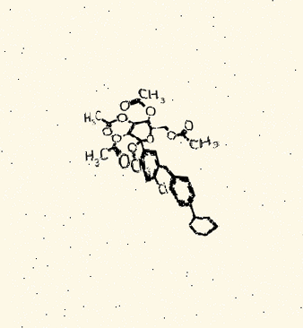 COC1(c2ccc(Cl)c(Cc3ccc(C4CCCCC4)cc3)c2)O[C@H](COC(C)=O)[C@@H](OC(C)=O)[C@H](OC(C)=O)[C@H]1OC(C)=O